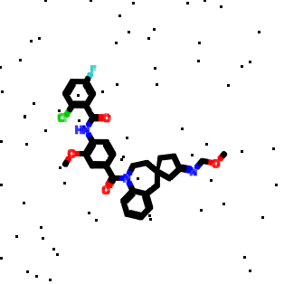 COC/N=C1\CC[C@@]2(CCN(C(=O)c3ccc(NC(=O)c4cc(F)ccc4Cl)c(OC)c3)c3ccccc3C2)C1